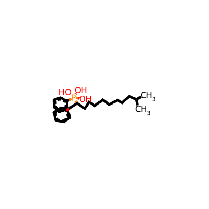 CC(C)CCCCCCCCC(c1ccccc1)P(O)(O)(O)c1ccccc1